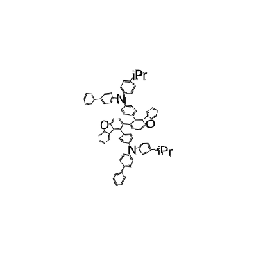 CC(C)c1ccc(N(c2ccc(-c3ccccc3)cc2)c2ccc(-c3c(-c4ccc5oc6ccccc6c5c4-c4ccc(N(c5ccc(-c6ccccc6)cc5)c5ccc(C(C)C)cc5)cc4)ccc4oc5ccccc5c34)cc2)cc1